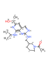 CC(=O)N1CCCC(CNc2ncc3cc([C@@H](C)O)nc(NC(C)C)c3n2)C1